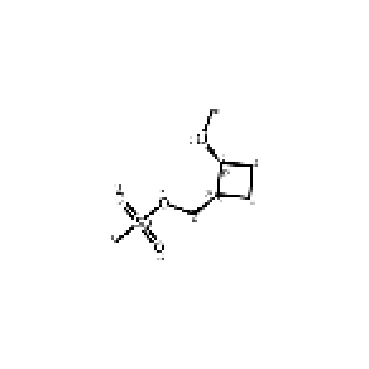 CO[C@H]1CC[C@H]1COS(C)(=O)=O